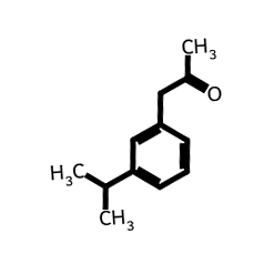 CC(=O)Cc1cccc(C(C)C)c1